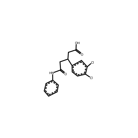 O=C(O)CC(CC(=O)Nc1ccccc1)c1ccc(Cl)c(Cl)c1